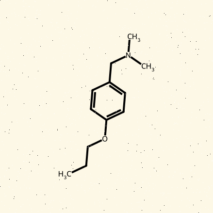 CCCOc1ccc(CN(C)C)cc1